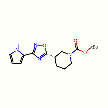 CC(C)(C)OC(=O)N1CCC[C@H](c2nc(-c3ccc[nH]3)no2)C1